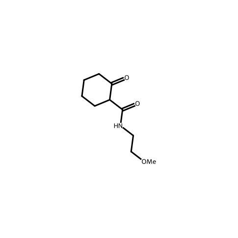 COCCNC(=O)C1CCCCC1=O